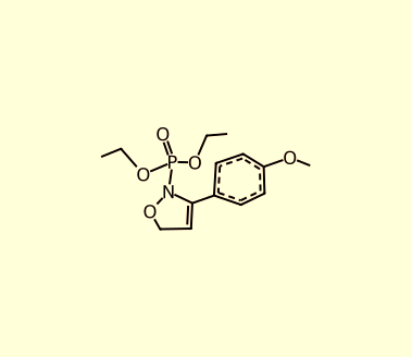 CCOP(=O)(OCC)N1OCC=C1c1ccc(OC)cc1